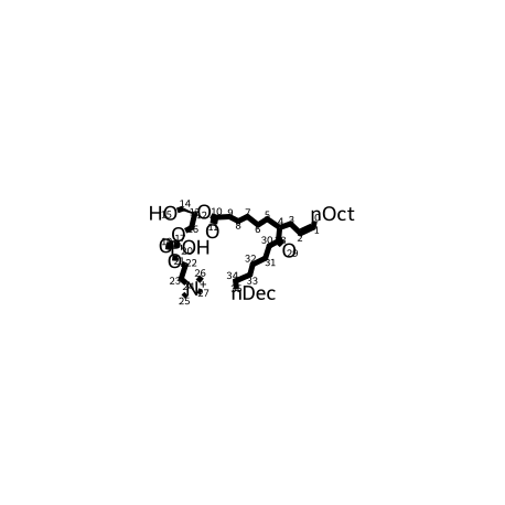 CCCCCCCC/C=C\CC(CCCCCC(=O)O[C@H](CO)COP(=O)(O)OCC[N+](C)(C)C)C(=O)CCCCCCCCCCCCCCC